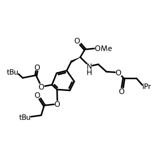 COC(=O)[C@H](Cc1ccc(OC(=O)CC(C)(C)C)c(OC(=O)CC(C)(C)C)c1)NCCOC(=O)CC(C)C